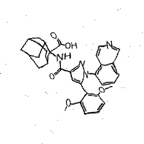 COc1cccc(OC)c1-c1cc(C(=O)NC2(C(=O)O)C3CC4CC(C3)CC2C4)nn1-c1cccc2cnccc12